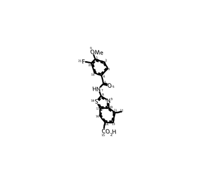 COc1ccc(C(=O)Nc2nc3c(C)cc(C(=O)O)cc3s2)cc1F